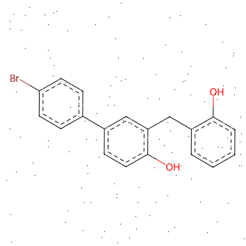 Oc1ccccc1Cc1cc(-c2ccc(Br)cc2)ccc1O